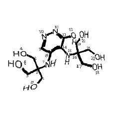 OCC(CO)(CO)Nc1cnnc(O)c1NC(CO)(CO)CO